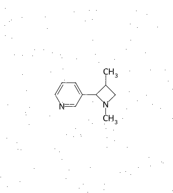 CC1CN(C)C1c1cccnc1